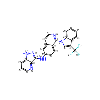 FC(F)(F)c1cn(-c2nccc3cc(Nc4n[nH]c5cccnc45)ccc23)c2ccccc12